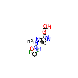 CCCN(CCNC(=O)c1c(F)cccc1F)c1ccc(-c2cc(OCC(C)(C)O)cn3ncc(C#N)c23)cn1